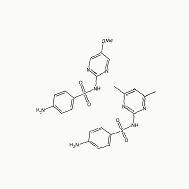 COc1cnc(NS(=O)(=O)c2ccc(N)cc2)nc1.Cc1cc(C)nc(NS(=O)(=O)c2ccc(N)cc2)n1